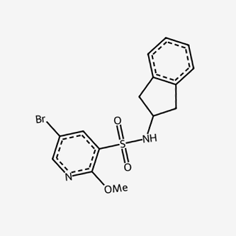 COc1ncc(Br)cc1S(=O)(=O)NC1Cc2ccccc2C1